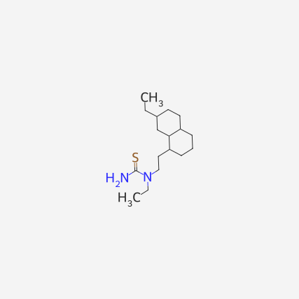 CCC1CCC2CCCC(CCN(CC)C(N)=S)C2C1